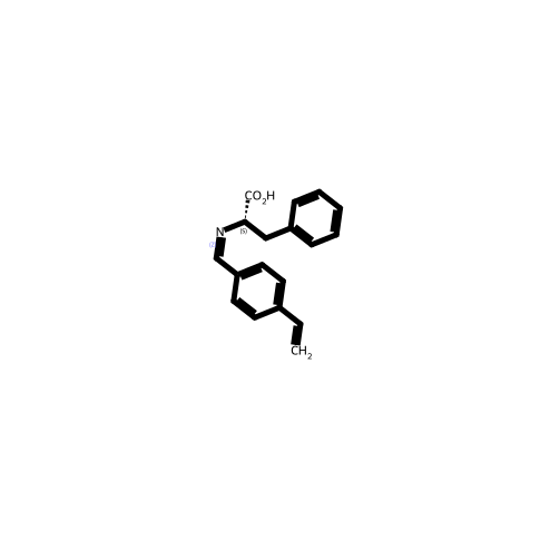 C=Cc1ccc(/C=N\[C@@H](Cc2ccccc2)C(=O)O)cc1